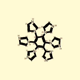 C1=NC=NC1c1c(-n2ccnc2)c(-n2ccnc2)c(-n2ccnc2)c(-n2ccnc2)c1-n1ccnc1